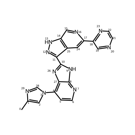 Cc1cn(-c2ccnc3[nH]c(-c4n[nH]c5cnc(-c6cnccn6)cc45)nc23)cn1